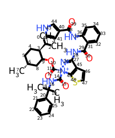 CC(C)[C@@H]1CC[C@@H](C)CC1OC(=O)[N@@+]1(C(=O)NC(C)(C)c2ccccc2)N=C(NC(=O)c2ccccc2NC(=O)c2cc[nH]c2)c2ccsc21